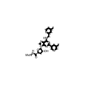 CNNC(=O)[C@@H]1C[C@@H](O)[C@H](n2cnc3c(NCc4cc(C)ccn4)nc(-c4cncc(C)c4)nc32)O1